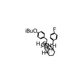 CC(C)COc1ccc(CC(=O)N(Cc2ccc(F)cc2)[C@@H]2[C@@H]3CCC[C@H]2CN(C)C3)cc1